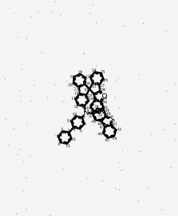 c1ccc(-c2ccc(N(c3ccc4c(c3)C3(c5ccccc5-4)c4ccccc4-c4oc5ccccc5c43)c3ccc4sc5ccccc5c4c3)cc2)cc1